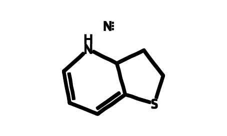 C1=CNC2CCSC2=C1.[N]